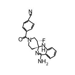 N#Cc1ccc(C(=O)N2CC[C@@]3(N=C(N)c4ccccc4N3)[C@@H](F)C2)cc1